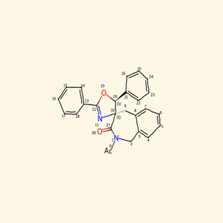 CC(=O)N1Cc2ccccc2C[C@@]2(N=C(c3ccccc3)O[C@H]2c2ccccc2)C1=O